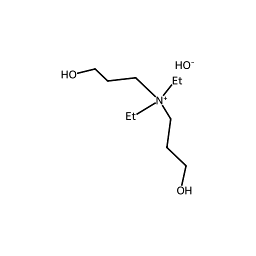 CC[N+](CC)(CCCO)CCCO.[OH-]